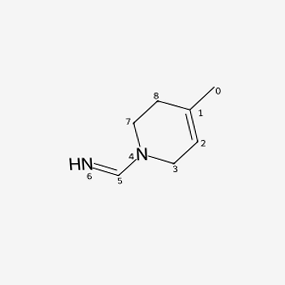 CC1=CCN(C=N)CC1